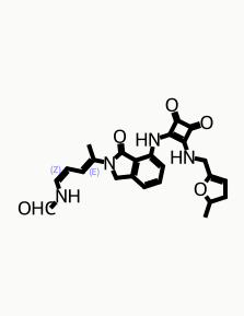 C/C(=C\C=C/NC=O)N1Cc2cccc(Nc3c(NCC4=CCC(C)O4)c(=O)c3=O)c2C1=O